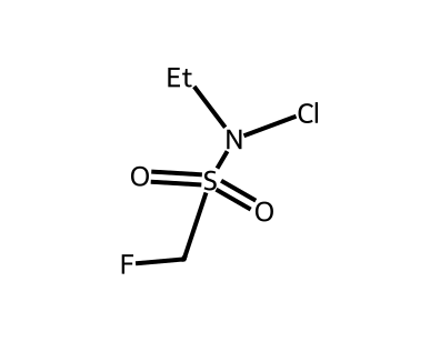 CCN(Cl)S(=O)(=O)CF